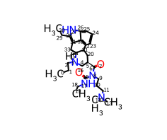 CCCN1C[C@H](C(=O)N(CCCN(C)C)C(=O)NCC)CC2c3cccc4[nH]c(CC)c(c34)C[C@H]21